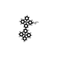 [Pd+2].c1ccc([B-](c2ccccc2)(c2ccccc2)c2ccccc2)cc1.c1ccc([B-](c2ccccc2)(c2ccccc2)c2ccccc2)cc1